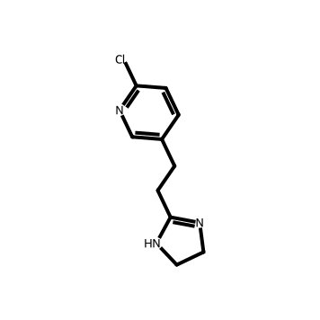 Clc1ccc(CCC2=NCCN2)cn1